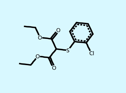 CCOC(=O)C(Sc1ccccc1Cl)C(=O)OCC